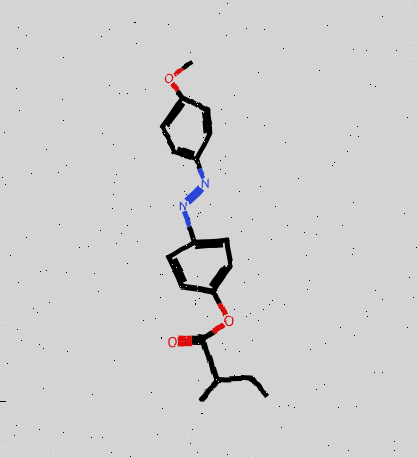 CCC(C)C(=O)Oc1ccc(N=Nc2ccc(OC)cc2)cc1